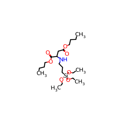 CCCCOC(=O)CC(NCCC[Si](OCC)(OCC)OCC)C(=O)OCCCC